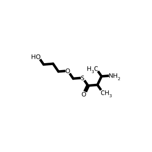 CC(N)C(C)C(=O)SCOCCCO